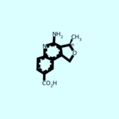 C[C@H]1OCc2c1c(N)nc1ccc(C(=O)O)cc21